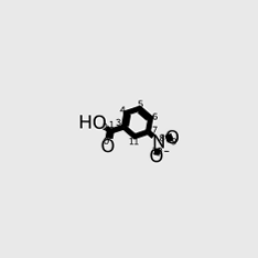 O=C(O)C1=CC=CC([N+](=O)[O-])C1